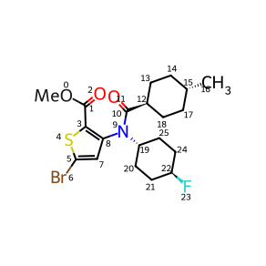 COC(=O)c1sc(Br)cc1N(C(=O)[C@H]1CC[C@H](C)CC1)[C@H]1CC[C@H](F)CC1